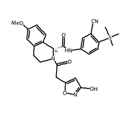 COc1ccc2c(c1)CCN(C(=O)Cc1cc(O)no1)[C@H]2C(=O)Nc1ccc(S(C)(C)C)c(C#N)c1